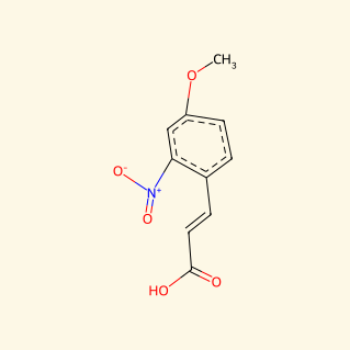 COc1ccc(C=CC(=O)O)c([N+](=O)[O-])c1